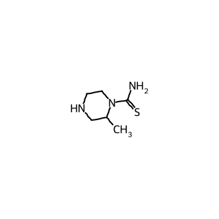 CC1CNCCN1C(N)=S